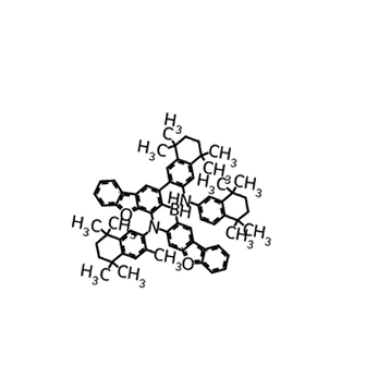 Cc1cc2c(cc1N1c3cc4oc5ccccc5c4cc3Bc3c(-c4cc5c(cc4Nc4ccc6c(c4)C(C)(C)CCC6(C)C)C(C)(C)CCC5(C)C)cc4c(oc5ccccc54)c31)C(C)(C)CCC2(C)C